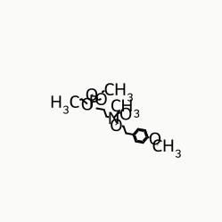 CCOP(=O)(CCCN(OCCc1ccc(OC)cc1)C(C)=O)OCC